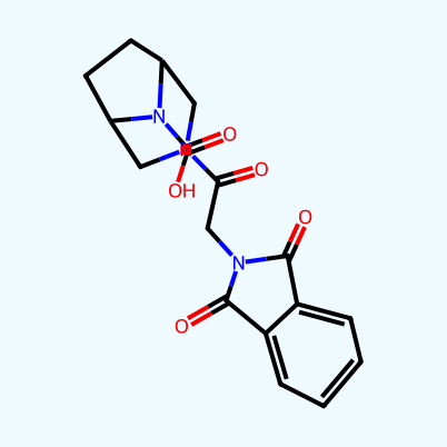 O=C(CN1C(=O)c2ccccc2C1=O)N1CC2CCC(C1)N2C(=O)O